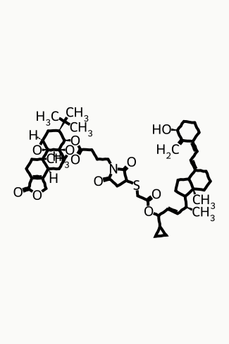 C=C1/C(=C\C=C2/CCC[C@@]3(C)C2CCC3[C@@H](C)/C=C/C(OC(=O)CSC2CC(=O)N(CCCC(=O)O[C@@H]3[C@H](C(C)(C)C)C[C@@H]4O[C@]45[C@]34O[C@H]4C[C@H]3C4=C(CC[C@@]35C)C(=O)OC4)C2=O)C2CC2)CCC[C@@H]1O